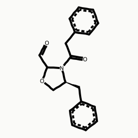 O=CC1OC[C@H](Cc2ccccc2)N1C(=O)Cc1ccccc1